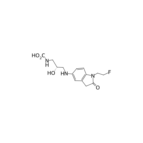 O=C(O)NC[C@@H](O)CNc1ccc2c(c1)CC(=O)N2CCF